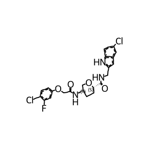 O=C(COc1ccc(Cl)c(F)c1)N[C@@H]1CC[C@@H](C(=O)NCc2cc3cc(Cl)ccc3[nH]2)OC1